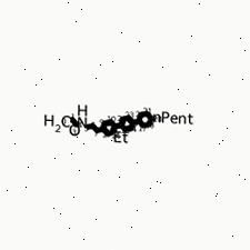 C=CC(=O)NCCCc1ccc(-c2ccc(C3CCC(CCCCC)CC3)cc2)c(CC)c1